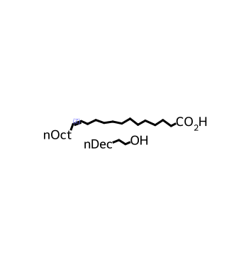 CCCCCCCC/C=C\CCCCCCCCCCCC(=O)O.CCCCCCCCCCCCO